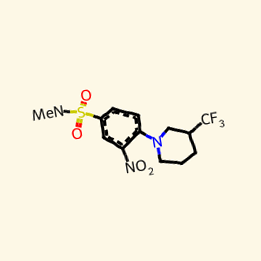 CNS(=O)(=O)c1ccc(N2CCCC(C(F)(F)F)C2)c([N+](=O)[O-])c1